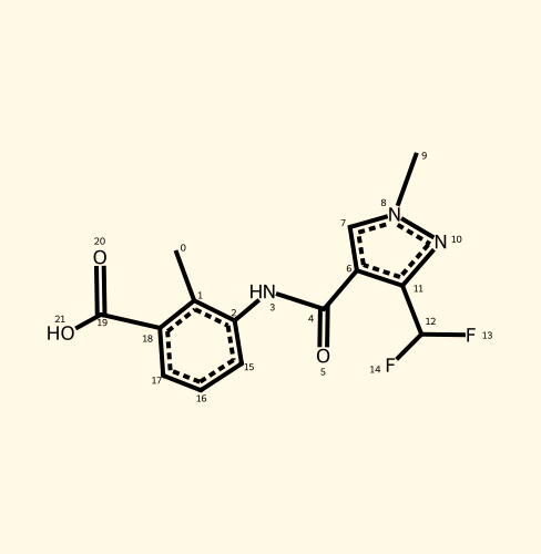 Cc1c(NC(=O)c2cn(C)nc2C(F)F)cccc1C(=O)O